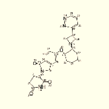 O=C1CCC(N2Cc3cc(O[C@@H]4CCCC[C@@H]4N4CC(c5cccnn5)C4)ccc3C2=O)C(=O)N1